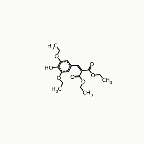 CCOC(=O)C(=Cc1cc(OCC)c(O)c(OCC)c1)C(=O)OCC